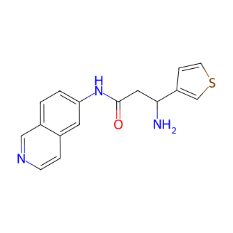 NC(CC(=O)Nc1ccc2cnccc2c1)c1ccsc1